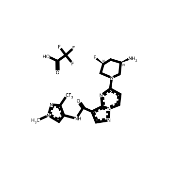 Cn1cc(NC(=O)c2cnn3ccc(N4C[C@H](N)C[C@H](F)C4)nc23)c(C(F)(F)F)n1.O=C(O)C(F)(F)F